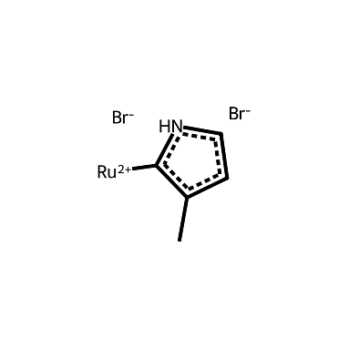 Cc1cc[nH][c]1[Ru+2].[Br-].[Br-]